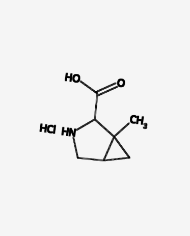 CC12CC1CNC2C(=O)O.Cl